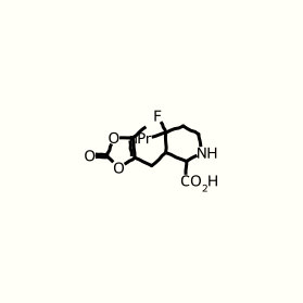 CCCC1(F)CCNC(C(=O)O)C1Cc1oc(=O)oc1C